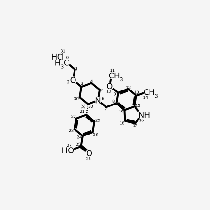 CCOC1CCN(Cc2c(OC)cc(C)c3[nH]ccc23)[C@H](c2ccc(C(=O)O)cc2)C1.Cl